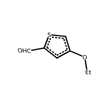 CCOc1csc(C=O)c1